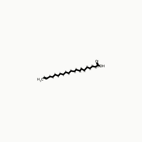 CC=CCCCCCCCCCCCCCCCCCCC(=O)O